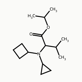 CC(C)OC(=O)C(C(C)C)N(C1CCC1)C1CC1